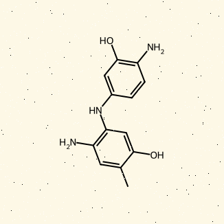 Cc1cc(N)c(Nc2ccc(N)c(O)c2)cc1O